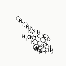 Cc1nc2c(cc(-c3nc(N4CCC(N5CCCCC5)CC4)ns3)n2C)c(-c2cc(F)c3c(c2C)CCCO3)c1[C@H](OC(C)(C)C)C(=O)O